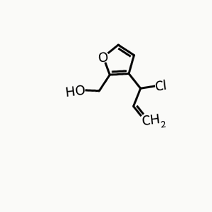 C=CC(Cl)c1ccoc1CO